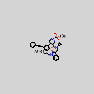 COCCCn1cc(CN(C(=O)[C@H]2CN(C(=O)OC(C)(C)C)CC[C@@H]2c2cccc(C#Cc3ccccc3)c2)C2CC2)c2ccccc21